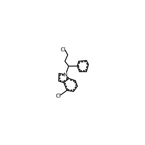 ClCCC(c1ccccc1)n1ccc2c(Cl)cccc21